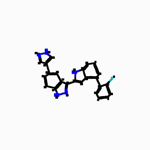 Fc1ccccc1-c1cccc2[nH]c(-c3n[nH]c4ccc(-c5cn[nH]c5)cc34)cc12